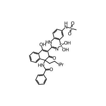 CC(C)CCC1(NC(=O)c2ccccc2)C(=O)C(C2=NS(O)(O)c3cc(NS(C)(=O)=O)ccc3N2)=C(O)c2ccccc21